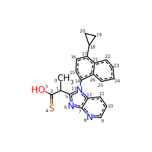 CC(C(O)=S)c1nc2ncccc2n1-c1ccc(C2CC2)c2ccccc12